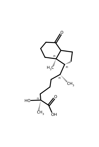 C[C@H](CCC[C@](C)(O)C(=O)O)[C@H]1CCC2C(=O)CCC[C@@]21C